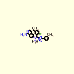 CCc1ccc(F)c(C(Nc2ccc3c(N)nccc3c2)c2nc(-c3cccc(C)c3)nn2C)c1